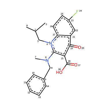 CC(C)Cn1c(N(C)Cc2ccccc2)c(C(=O)O)c(=O)c2cc(F)ccc21